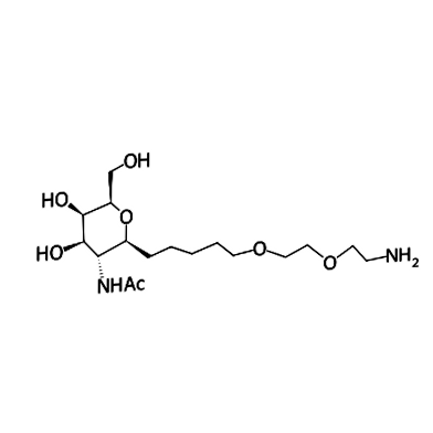 CC(=O)N[C@@H]1[C@@H](O)[C@@H](O)[C@@H](CO)O[C@H]1CCCCCOCCOCCN